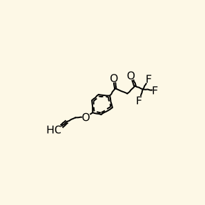 C#CCOc1ccc(C(=O)CC(=O)C(F)(F)F)cc1